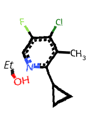 CCO.Cc1c(C2CC2)ncc(F)c1Cl